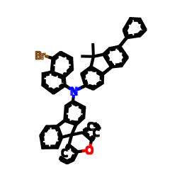 CC1(C)c2cc(-c3ccccc3)ccc2-c2ccc(N(c3ccc4c(c3)-c3ccccc3C43c4ccccc4Oc4ccccc43)c3cccc4c(Br)cccc34)cc21